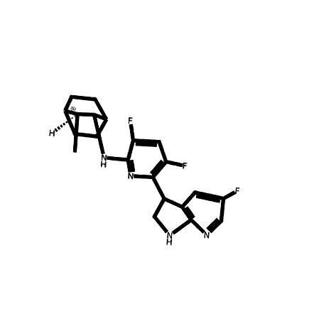 C[C@H]1C2CCC(CC2)C1Nc1nc(C2CNc3ncc(F)cc32)c(F)cc1F